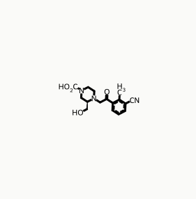 Cc1c(C#N)cccc1C(=O)CN1CCN(C(=O)O)C[C@@H]1CO